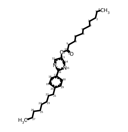 CCCCCCCCCCC(=O)Oc1cnc(-c2ccc(CCCCCCCC)cc2)nc1